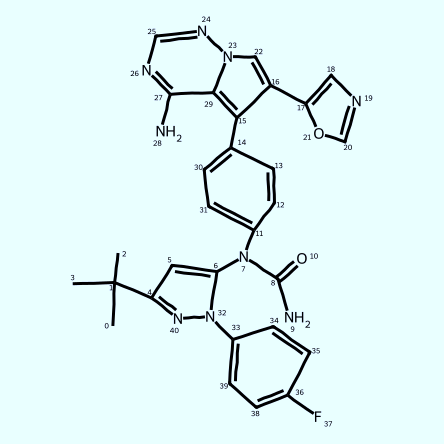 CC(C)(C)c1cc(N(C(N)=O)c2ccc(-c3c(-c4cnco4)cn4ncnc(N)c34)cc2)n(-c2ccc(F)cc2)n1